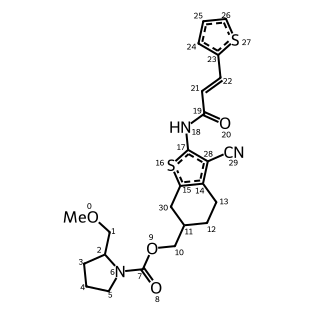 COCC1CCCN1C(=O)OCC1CCc2c(sc(NC(=O)C=Cc3cccs3)c2C#N)C1